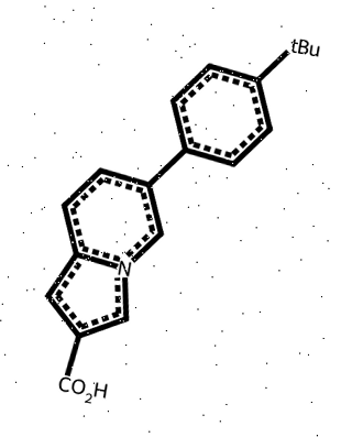 CC(C)(C)c1ccc(-c2ccc3cc(C(=O)O)cn3c2)cc1